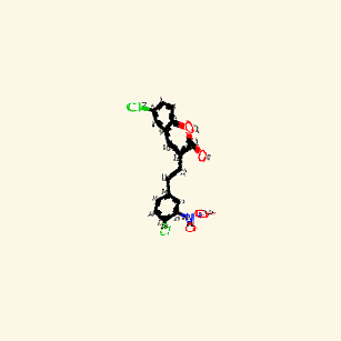 O=c1oc2ccc(Cl)cc2cc1CCc1ccc(Cl)c([N+](=O)[O-])c1